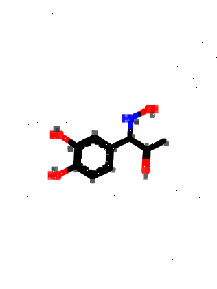 CC(=O)C(NO)c1ccc(O)c(O)c1